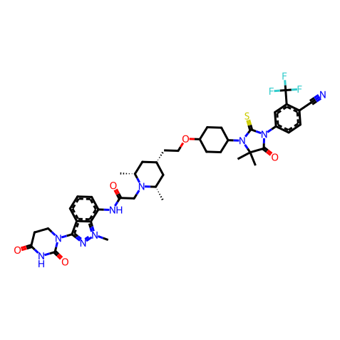 C[C@@H]1C[C@H](CCOC2CCC(N3C(=S)N(c4ccc(C#N)c(C(F)(F)F)c4)C(=O)C3(C)C)CC2)C[C@H](C)N1CC(=O)Nc1cccc2c(N3CCC(=O)NC3=O)nn(C)c12